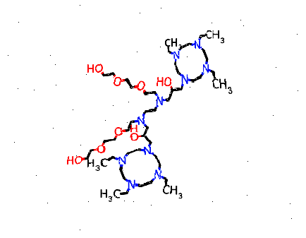 CCN1CCN(CC)CCN(CC(O)CN(CCOCCOCCO)CCN(CCOCCOCCO)CC(O)CN2CCN(CC)CCN(CC)CCN(CC)CC2)CCN(CC)CC1